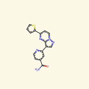 NC(=O)c1ccnc(-c2cnn3ccc(-c4cccs4)nc23)c1